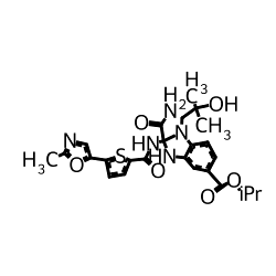 Cc1ncc(-c2ccc(C(=O)NC3(C(N)=O)Nc4cc(C(=O)OC(C)C)ccc4N3CC(C)(C)O)s2)o1